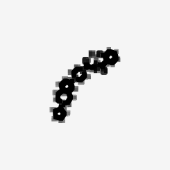 Cc1ccccc1C(=O)NCC(=O)N1CCN(c2ccc3c(c2)CCN(C2CCCC2)CC3)CC1